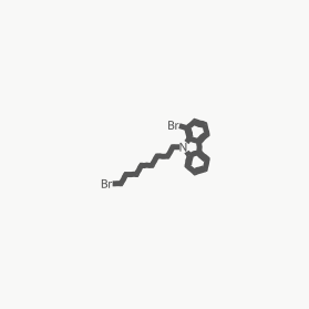 BrCCCCCCCCn1c2ccccc2c2cccc(Br)c21